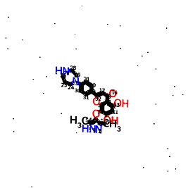 Cc1n[nH]c(C)c1Oc1c(O)cc(O)c2c(=O)cc(-c3ccc(N4CCCNCC4)cc3)oc12